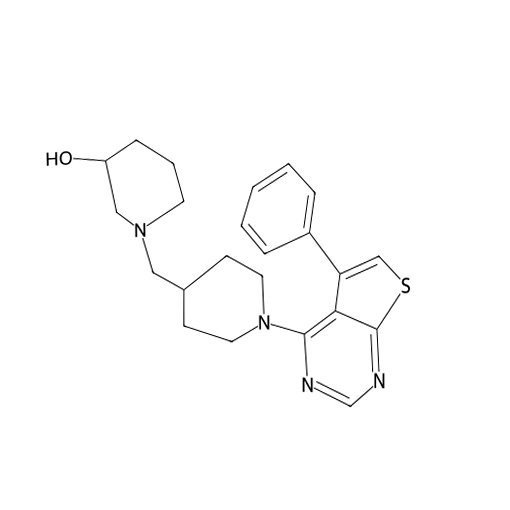 OC1CCCN(CC2CCN(c3ncnc4scc(-c5ccccc5)c34)CC2)C1